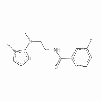 CN(CCNC(=O)c1cccc(Cl)c1)c1nccn1C